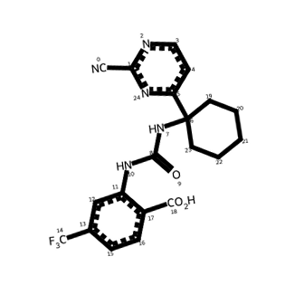 N#Cc1nccc(C2(NC(=O)Nc3cc(C(F)(F)F)ccc3C(=O)O)CCCCC2)n1